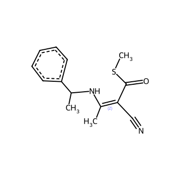 CSC(=O)/C(C#N)=C(/C)NC(C)c1ccccc1